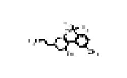 C=CCC1CC2=C(c3cc(C)ccc3C(C)(C)O2)C(O)C1